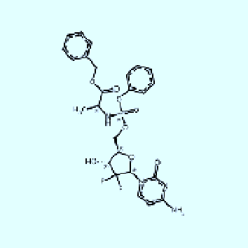 C[C@H](N[P@@](=O)(OC[C@H]1O[C@@H](n2ccc(N)nc2=O)C(F)(F)[C@@H]1O)Oc1ccccc1)C(=O)OCc1ccccc1